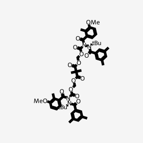 COc1cccc(C(=O)N(C(=O)OCOC(=O)C(C)(C)C(=O)OCOC(=O)N(C(=O)c2cccc(OC)c2C)N(C(=O)c2cc(C)cc(C)c2)C(C)(C)C)N(C(=O)c2cc(C)cc(C)c2)C(C)(C)C)c1C